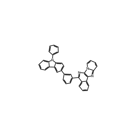 c1ccc(-n2c3ccccc3c3cc(-c4cccc(-c5nc6c(nc7ccccn76)c6ccccc56)c4)ccc32)cc1